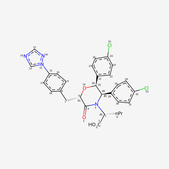 CCC[C@H](C(=O)O)N1C(=O)[C@H](Cc2ccc(-n3cncn3)cc2)O[C@@H](c2ccc(Cl)cc2)[C@H]1c1ccc(Cl)cc1